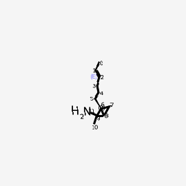 C/C=C/CCC[C@@]12CC1C2(C)N